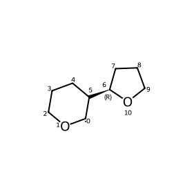 [CH]1OCCCC1[C@H]1CCCO1